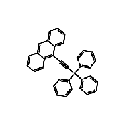 C(#C[Si](c1ccccc1)(c1ccccc1)c1ccccc1)c1c2ccccc2cc2ccccc12